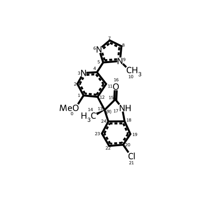 COc1cnc(-c2nccn2C)cc1[C@]1(C)C(=O)Nc2cc(Cl)ccc21